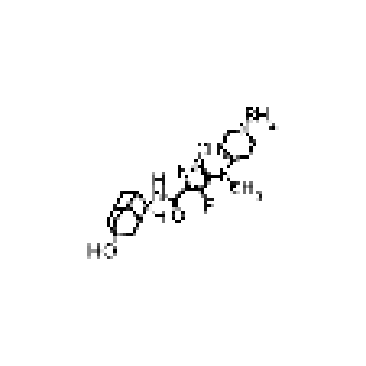 BN1CCC(N(C)c2c(F)c(C(=O)N[C@H]3C4CC5CC3C[C@](O)(C5)C4)nn2C)CC1